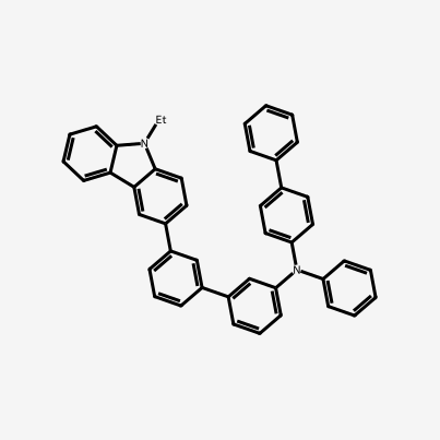 CCn1c2ccccc2c2cc(-c3cccc(-c4cccc(N(c5ccccc5)c5ccc(-c6ccccc6)cc5)c4)c3)ccc21